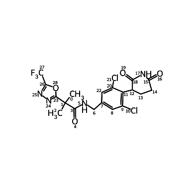 CC(C)(C(=O)NCc1cc(Cl)c(C2CCC(=O)NC2=O)c(Cl)c1)c1nnc(C(F)(F)F)o1